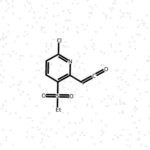 CCS(=O)(=O)c1ccc(Cl)nc1C=C=O